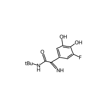 CC(C)(C)NC(=O)C(=N)c1cc(O)c(O)c(F)c1